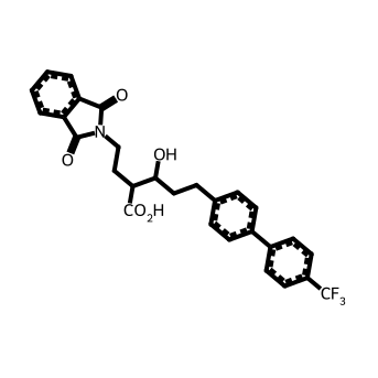 O=C(O)C(CCN1C(=O)c2ccccc2C1=O)C(O)CCc1ccc(-c2ccc(C(F)(F)F)cc2)cc1